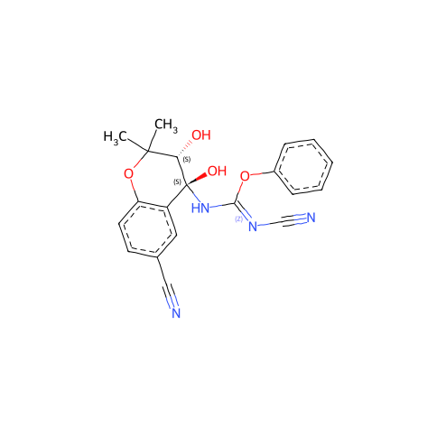 CC1(C)Oc2ccc(C#N)cc2[C@@](O)(N/C(=N/C#N)Oc2ccccc2)[C@H]1O